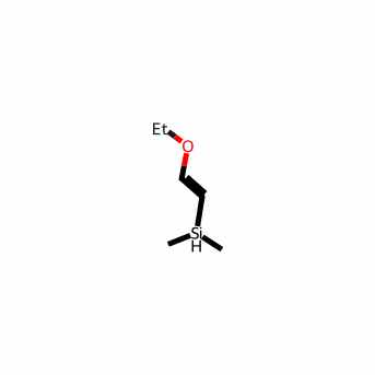 CCOC=C[SiH](C)C